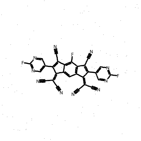 N#CC(C#N)=C1C(c2cnc(F)nc2)=C(C#N)c2c1cc1c(c2F)C(C#N)=C(c2cnc(F)nc2)C1=C(C#N)C#N